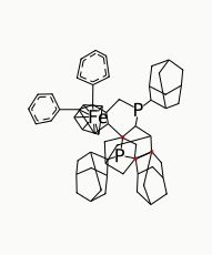 c1ccc([C]23[CH]4[C]5(CP(C6C7CC8CC(C7)CC6C8)C6C7CC8CC(C7)CC6C8)[C]6(CP(C7C8CC9CC(C8)CC7C9)C7C8CC9CC(C8)CC7C9)[C]2(c2ccccc2)[Fe]45362789[CH]3[CH]2[CH]7[CH]8[CH]39)cc1